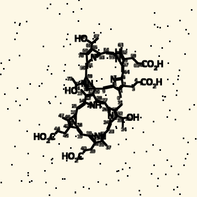 CC1=C(CCC(=O)O)C2=NC1=CC1(c3c(C)c4cc5nc(cc6[nH]c(cc7nc(cc3[nH]4)C(C)=C7C(C)O)c(C)c6CCC(=O)O)C(CCC(=O)O)=C5C)NC(C=C3N=C(C=c4[nH]c(c(CCC(=O)O)c4C)=C2)C(C(C)O)=C3C)C(C(C)O)=C1C